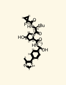 Cc1ncsc1-c1ccc([C@](C)(O)NC(=O)C2C[C@@H](O)CN2C(=O)[C@@H](NC(=O)C2(F)CC2)C(C)(C)C)cc1